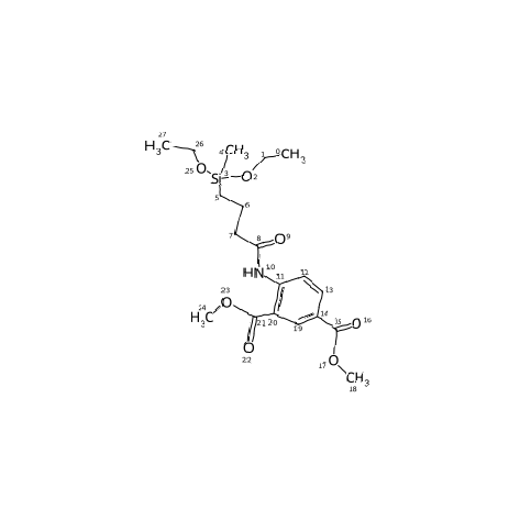 CCO[Si](C)(CCCC(=O)Nc1ccc(C(=O)OC)cc1C(=O)OC)OCC